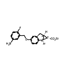 Bc1ccc(F)c(COc2ccc3c(c2)C[C@H]2[C@H](C(=O)OCC)[C@@H]32)c1